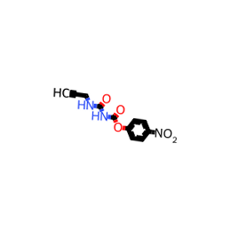 C#CCNC(=O)NC(=O)Oc1ccc([N+](=O)[O-])cc1